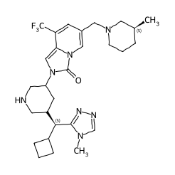 C[C@H]1CCCN(Cc2cc(C(F)(F)F)c3cn(C4CNCC([C@@H](c5nncn5C)C5CCC5)C4)c(=O)n3c2)C1